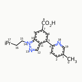 Cc1ccc(-c2cc(C(=O)O)cc3c2cnn3CCC(C)C)nc1